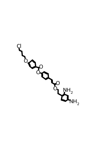 Nc1ccc(CCOC(=O)C=Cc2ccc(OC(=O)c3ccc(OCCCCCl)cc3)cc2)c(N)c1